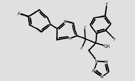 OC(Cn1ncnn1)(c1ccc(F)cc1F)C(F)(F)c1cnc(-c2ccc(F)cc2)cn1